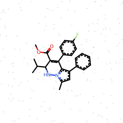 COC(=O)C1=C(c2ccc(F)cc2)c2c(-c3ccccc3)cc(C)n2NC1C(C)C